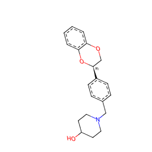 OC1CCN(Cc2ccc([C@@H]3COc4ccccc4O3)cc2)CC1